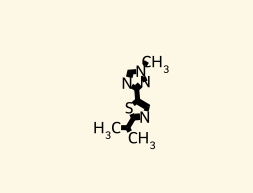 CC(C)c1ncc(-c2ncn(C)n2)s1